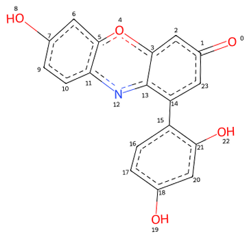 O=c1cc2oc3cc(O)ccc3nc-2c(-c2ccc(O)cc2O)c1